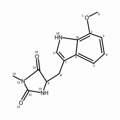 COc1cccc2c(CC3NC(=O)N(C)C3=O)c[nH]c12